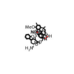 COc1c(C)cc2c(c1O)[C@@H]1[C@@H]3[C@@H]4SC[C@]5(N[C@H](CN)Cc6c5oc5ccccc65)C(=O)OC[C@@H](c5c6c(c(C)c(OC(C)=O)c54)OCO6)N3C3(O)CN1C2(C)C3